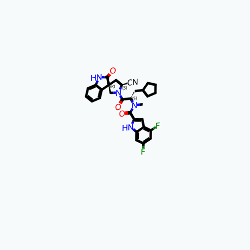 CN(C(=O)c1cc2c(F)cc(F)cc2[nH]1)[C@@H](CC1CCCC1)C(=O)N1C[C@]2(C[C@H]1C#N)C(=O)Nc1ccccc12